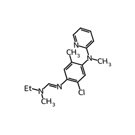 CCN(C)C=Nc1cc(C)c(N(C)c2ccccn2)cc1Cl